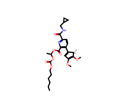 CCCCCCOC(=O)OC(C)OC(=O)c1nc(C(=O)NCC2CC2)ccc1C1=CC(OC)=C(OC)[C@H]1C